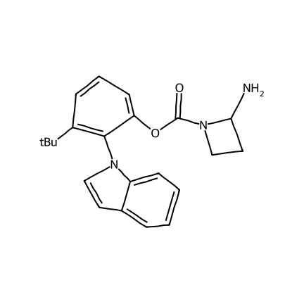 CC(C)(C)c1cccc(OC(=O)N2CCC2N)c1-n1ccc2ccccc21